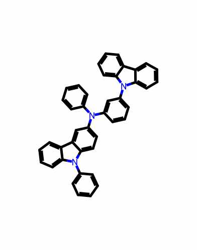 c1ccc(N(c2cccc(-n3c4ccccc4c4ccccc43)c2)c2ccc3c(c2)c2ccccc2n3-c2ccccc2)cc1